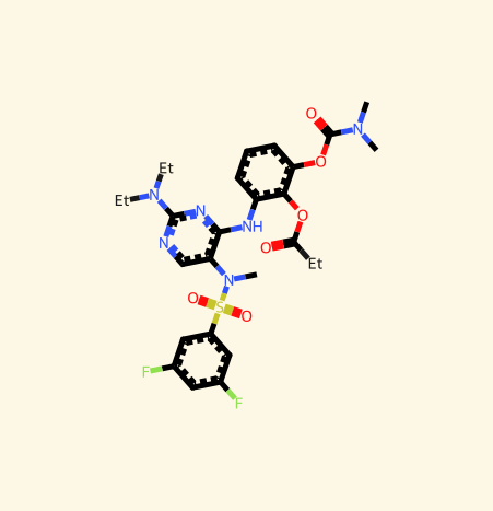 CCC(=O)Oc1c(Nc2nc(N(CC)CC)ncc2N(C)S(=O)(=O)c2cc(F)cc(F)c2)cccc1OC(=O)N(C)C